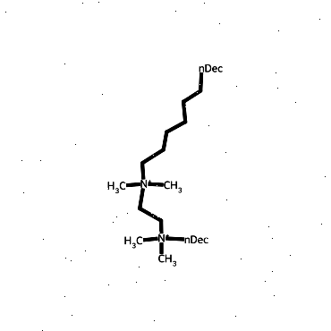 CCCCCCCCCCCCCCCC[N+](C)(C)CC[N+](C)(C)CCCCCCCCCC